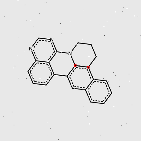 c1ccc2cc(-c3cccc4ncnc(N5CCCCC5)c34)ccc2c1